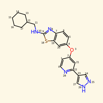 c1cc(Oc2ccc3nc(NCC4CCCCC4)sc3c2)cc(-c2cn[nH]c2)n1